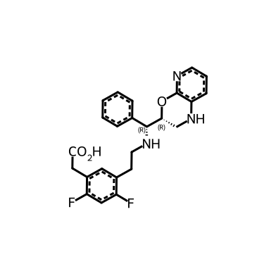 O=C(O)Cc1cc(CCN[C@H](c2ccccc2)[C@H]2CNc3cccnc3O2)c(F)cc1F